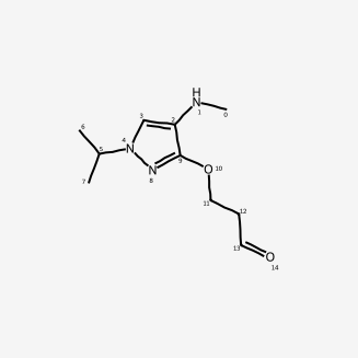 CNc1cn(C(C)C)nc1OCCC=O